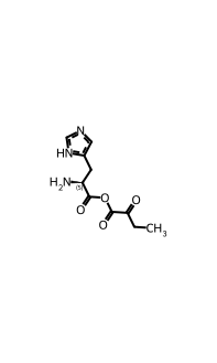 CCC(=O)C(=O)OC(=O)[C@@H](N)Cc1cnc[nH]1